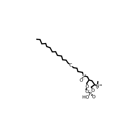 CCCCCCCCCCCCCCCCCC[S+]([O-])CC(COC)CC(COP(=O)([O-])O)[N+](C)(C)C